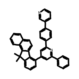 CC1(C)c2cccc(-c3cc(-c4ccccc4)nc(-c4ccc(-c5cccnc5)cc4)c3)c2-c2ccc3ccccc3c21